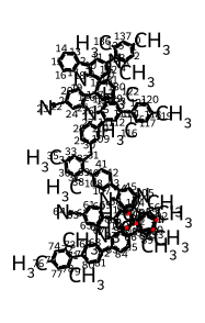 Cc1cc(C)c(-c2ccc3c(c2)c2ccccc2n3-c2cc(C#N)cc(-n3c4ccc(Cc5cc(C)cc(C)c5-c5ccc6c7ccc(-c8c(C)cc(C)cc8C)cc7n(-c7cc(C#N)cc(-n8c9cc(-c%10c(C)cc(C)cc%10C)ccc9c9ccc(-c%10c(C)cc(C)cc%10C)cc98)c7-c7cccc(C#N)c7)c6c5)cc4c4cc(-c5c(C)cc(C)cc5C)ccc43)c2-c2cccc(C#N)c2)c(C)c1